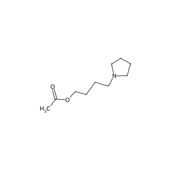 CC(=O)OCCCCN1CCCC1